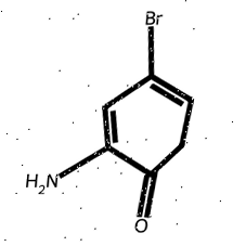 NC1=CC(Br)=CCC1=O